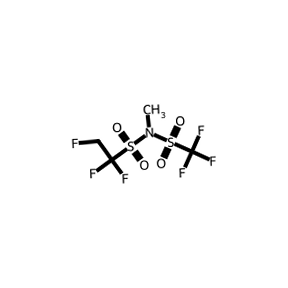 CN(S(=O)(=O)C(F)(F)F)S(=O)(=O)C(F)(F)CF